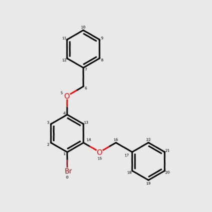 Brc1ccc(OCc2ccccc2)cc1OCc1ccccc1